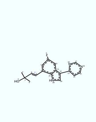 CC(C)(O)/C=C/c1cc(F)cc2c(-c3ccncn3)c[nH]c12